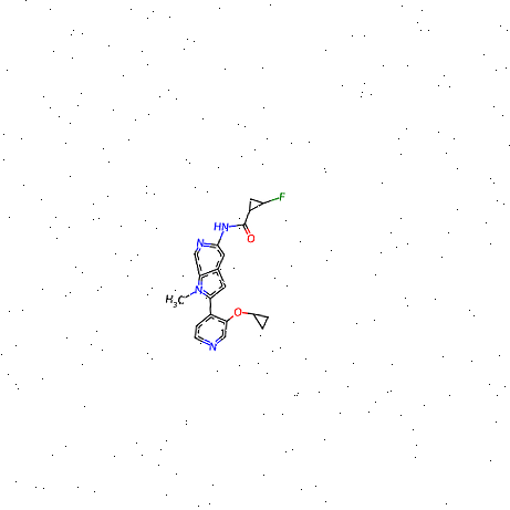 Cn1c(-c2ccncc2OC2CC2)cc2cc(NC(=O)C3CC3F)ncc21